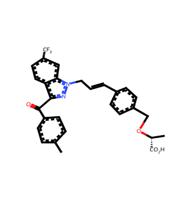 Cc1ccc(C(=O)c2nn(C/C=C/c3ccc(CO[C@H](C)C(=O)O)cc3)c3cc(C(F)(F)F)ccc23)cc1